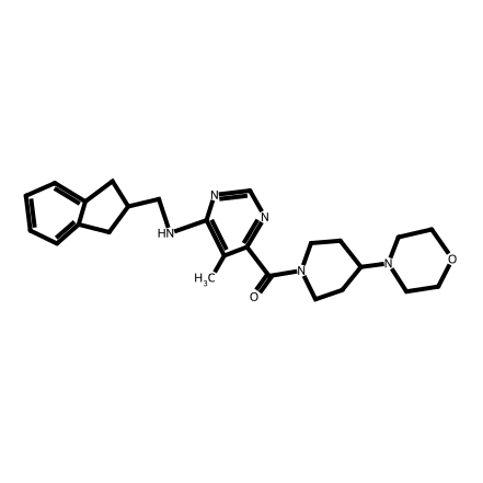 Cc1c(NCC2Cc3ccccc3C2)ncnc1C(=O)N1CCC(N2CCOCC2)CC1